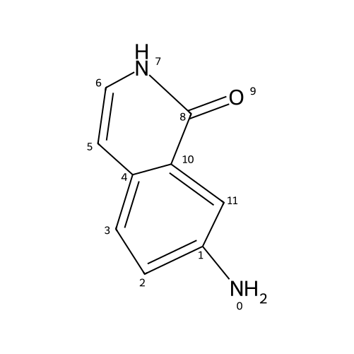 Nc1ccc2cc[nH]c(=O)c2c1